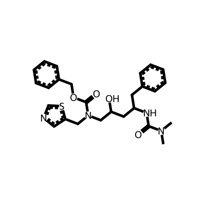 CN(C)C(=O)NC(Cc1ccccc1)CC(O)CN(Cc1cncs1)C(=O)OCc1ccccc1